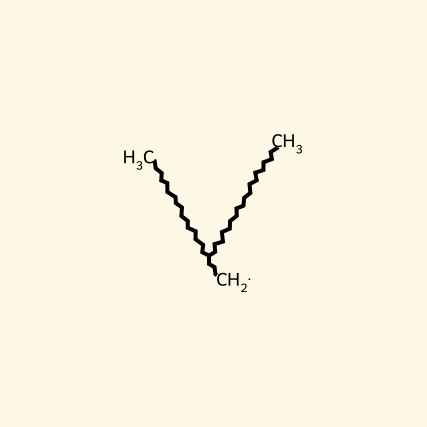 [CH2]CCCC(CCCCCCCCCCCCCCCCC)CCCCCCCCCCCCCCCCCCCC